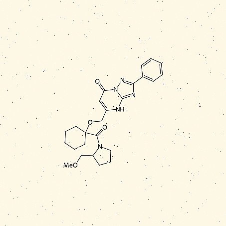 COCC1CCCN1C(=O)C1(OCc2cc(=O)n3nc(-c4ccccc4)nc3[nH]2)CCCCC1